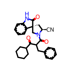 N#C[C@@H]1C[C@@]2(CN1C(=O)C(Cc1ccccc1)C(=O)C1CCCCC1)C(=O)Nc1ccccc12